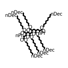 CCCCCCCCCCCCCCCCCCOC(=O)C(CCC)CC(CC(CC(CC(CC(CCC)C(=O)OCCCCCCCCCCCCCCCCCC)C(=O)OCCCCCCCCCCCCCCCCCC)C(=O)OCCCCCCCCCCCCCCCCCC)C(=O)OCCCCCCCCCCCCCCCCCC)C(=O)OCCCCCCCCCCCCCCCCCC